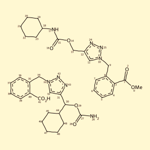 COC(=O)c1ccccc1Cn1cc(COC(=O)NC2CCCCC2)nn1.NC(=O)OC(c1cn(Cc2ccccc2C(=O)O)nn1)C1CCCCC1